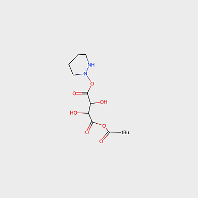 CC(C)(C)C(=O)OC(=O)C(O)C(O)C(=O)ON1CCCCN1